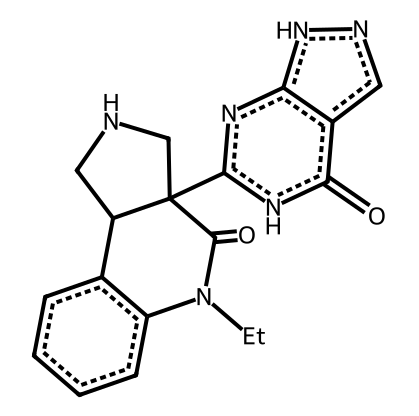 CCN1C(=O)C2(c3nc4[nH]ncc4c(=O)[nH]3)CNCC2c2ccccc21